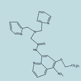 CCOC(=O)COc1cc(NC(=O)CN(Cc2ccccn2)Cc2ccccn2)c2ncccc2c1[N+](=O)[O-]